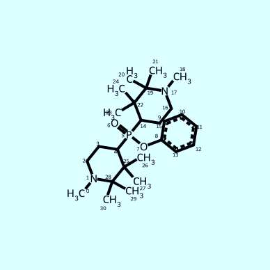 CN1CCC(P(=O)(Oc2ccccc2)C2CCN(C)C(C)(C)C2(C)C)C(C)(C)C1(C)C